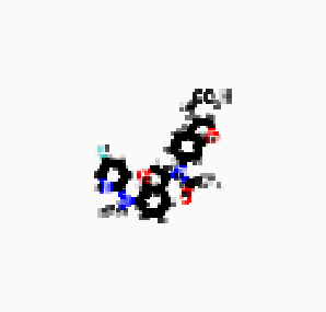 CCCN(c1ccc(F)cn1)c1cccc2c1OC[C@H]2N(C(=O)C(F)(F)F)c1ccc2c(c1)OC[C@H]2CC(=O)O